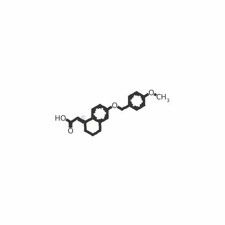 COc1ccc(COc2ccc3c(c2)CCC/C3=C\C(=O)O)cc1